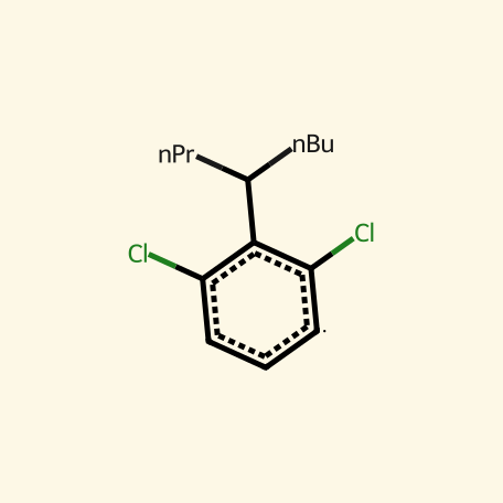 CCCCC(CCC)c1c(Cl)[c]ccc1Cl